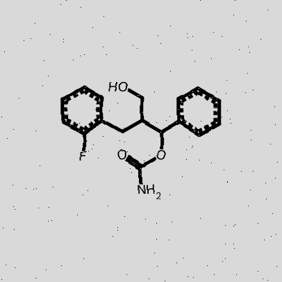 NC(=O)OC(c1ccccc1)C(CO)Cc1ccccc1F